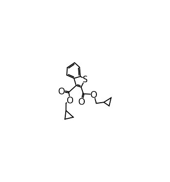 O=C(OCC1CC1)c1sc2ccccc2c1C(=O)OCC1CC1